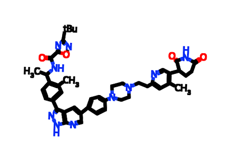 Cc1cc(-c2n[nH]c3ncc(-c4ccc(N5CCN(CCc6cc(C)c(C7CCC(=O)NC7=O)cn6)CC5)cc4)cc23)ccc1C(C)NC(=O)c1nc(C(C)(C)C)no1